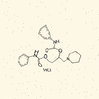 Cl.O=C(Nc1ccccc1)OCC(CN1CCCCC1)OC(=O)Nc1ccccc1